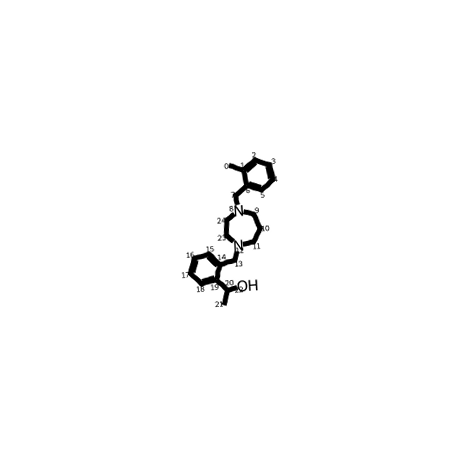 Cc1ccccc1CN1CCCN(Cc2ccccc2C(C)O)CC1